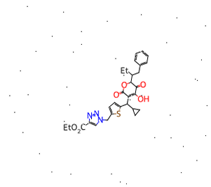 CCOC(=O)c1cn(Cc2ccc(C(C3=C(O)C(=O)C(C(CC)Cc4ccccc4)OC3=O)C3CC3)s2)nn1